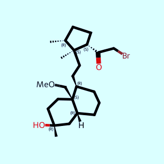 COC[C@]12CC[C@@](C)(O)C[C@H]1CCC[C@@H]2CC[C@@]1(C)[C@H](C)CC[C@@H]1C(=O)CBr